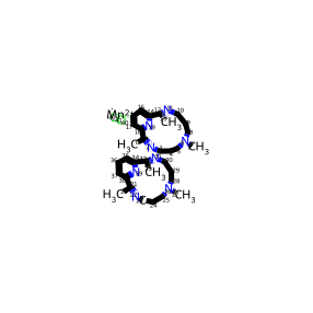 C/C1=N/CCCN(C)CCC/N=C(\C)c2cccc1n2.C/C1=N/CCCN(C)CCC/N=C(\C)c2cccc1n2.[Cl-].[Cl-].[Mn+2]